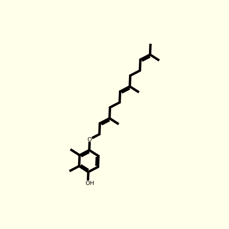 CC(C)=CCC/C(C)=C/CC/C(C)=C/COc1ccc(O)c(C)c1C